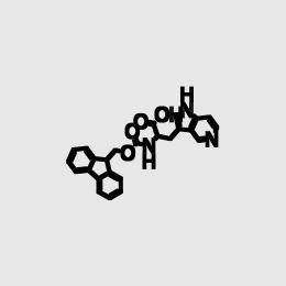 O=C(NC(Cc1c[nH]c2ccncc12)C(=O)O)OCC1c2ccccc2-c2ccccc21